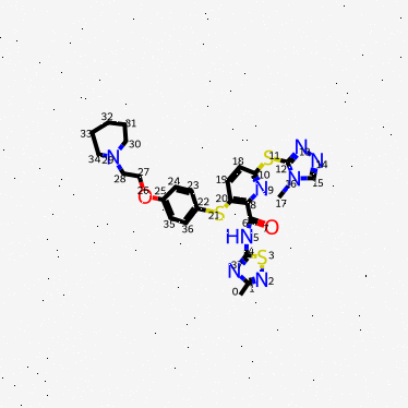 Cc1nsc(NC(=O)c2nc(Sc3nncn3C)ccc2Sc2ccc(OCCN3CCCCC3)cc2)n1